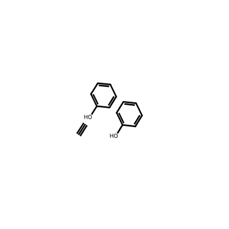 C#C.Oc1ccccc1.Oc1ccccc1